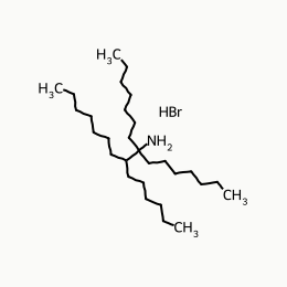 Br.CCCCCCCC(CCCCCC)C(N)(CCCCCCC)CCCCCCC